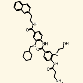 NCCC(=O)Nc1ccc(C(=O)Nc2ccc(C(=O)NCCc3ccc4ccccc4c3)cc2OCC2CCCCC2)cc1OCCO